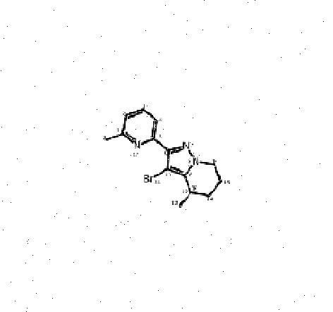 Cc1cccc(-c2nn3c(c2Br)[C@H](C)CCC3)n1